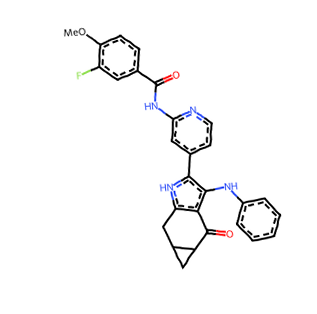 COc1ccc(C(=O)Nc2cc(-c3[nH]c4c(c3Nc3ccccc3)C(=O)C3CC3C4)ccn2)cc1F